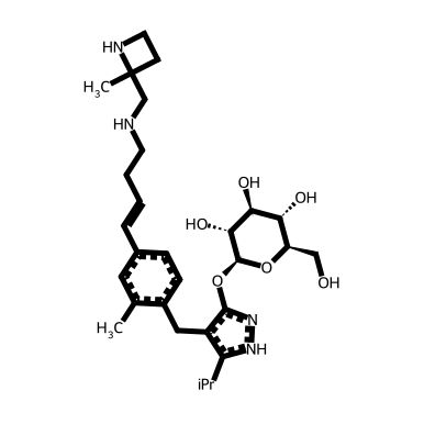 Cc1cc(/C=C/CCNCC2(C)CCN2)ccc1Cc1c(O[C@@H]2O[C@H](CO)[C@@H](O)[C@H](O)[C@H]2O)n[nH]c1C(C)C